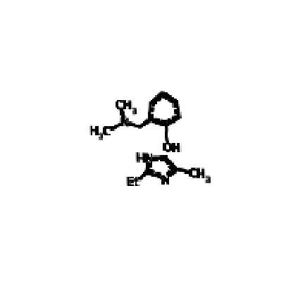 CCc1nc(C)c[nH]1.CN(C)Cc1ccccc1O